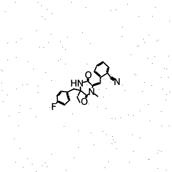 CCC1(Cc2ccc(F)cc2)NC(=O)/C(=C\c2ccccc2C#N)N(C)C1=O